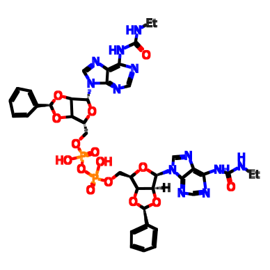 CCNC(=O)Nc1ncnc2c1ncn2[C@@H]1O[C@H](COP(=O)(O)OP(=O)(O)OC[C@H]2O[C@@H](n3cnc4c(NC(=O)NCC)ncnc43)[C@H]3O[C@@H](c4ccccc4)OC23)C2O[C@@H](c3ccccc3)OC21